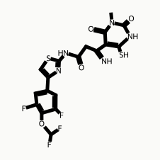 Cn1c(=O)[nH]c(S)c(C(=N)CC(=O)Nc2nc(-c3cc(F)c(OC(F)F)c(F)c3)cs2)c1=O